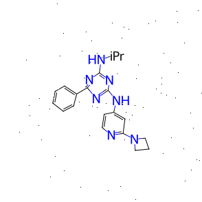 CC(C)Nc1nc(Nc2ccnc(N3CCC3)c2)nc(-c2ccccc2)n1